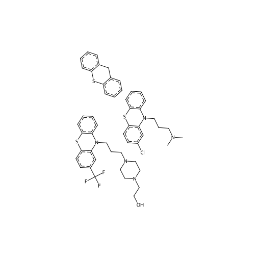 CN(C)CCCN1c2ccccc2Sc2ccc(Cl)cc21.OCCN1CCN(CCCN2c3ccccc3Sc3ccc(C(F)(F)F)cc32)CC1.c1ccc2c(c1)Cc1ccccc1S2